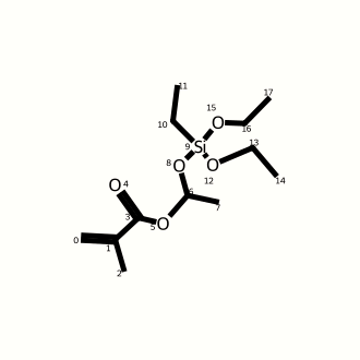 C=C(C)C(=O)OC(C)O[Si](CC)(OCC)OCC